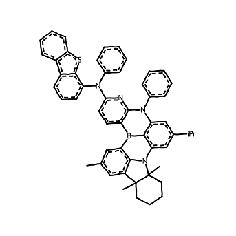 Cc1cc2c3c(c1)C1(C)CCCCC1(C)N3c1cc(C(C)C)cc3c1B2c1ccc(N(c2ccccc2)c2cccc4c2sc2ccccc24)nc1N3c1ccccc1